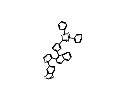 c1ccc(-c2nc(-c3ccccc3)nc(-c3cccc(-c4c(-c5cccnc5-c5ccc6ncoc6c5)ccc5ccccc45)c3)n2)cc1